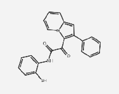 O=C(Nc1ccccc1S)C(=O)c1c(-c2ccccc2)cc2ccccn12